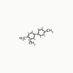 Cc1ccc(-c2ccc(C)c(C)c2)cc1